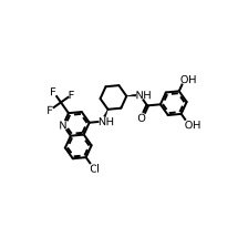 O=C(N[C@@H]1CCC[C@H](Nc2cc(C(F)(F)F)nc3ccc(Cl)cc23)C1)c1cc(O)cc(O)c1